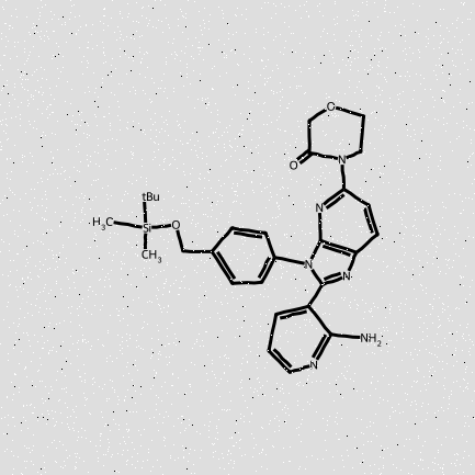 CC(C)(C)[Si](C)(C)OCc1ccc(-n2c(-c3cccnc3N)nc3ccc(N4CCOCC4=O)nc32)cc1